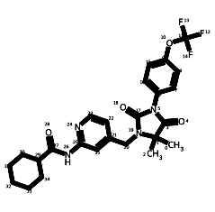 CC1(C)C(=O)N(c2ccc(OC(F)(F)F)cc2)C(=O)N1Cc1ccnc(NC(=O)C2CCCCC2)c1